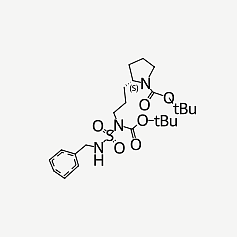 CC(C)(C)OC(=O)N1CCC[C@H]1CCCN(C(=O)OC(C)(C)C)S(=O)(=O)NCc1ccccc1